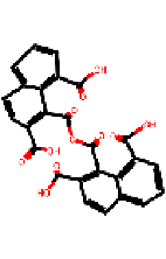 O=C(O)c1ccc2cccc(C(=O)O)c2c1C(=O)OC(=O)c1c(C(=O)O)ccc2cccc(C(=O)O)c12